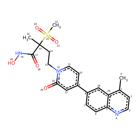 Cc1ccnc2ccc(-c3ccn(CCC(C)(C(=O)NO)S(C)(=O)=O)c(=O)c3)cc12